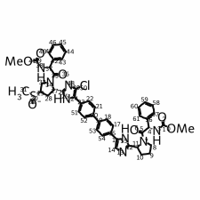 COC(=O)N[C@H](C(=O)N1CCCC1c1ncc(-c2ccc(-c3ccc(-c4[nH]c([C@@H]5C[C@H]([S+](C)[O-])CN5C(=O)[C@@H](NC(=O)OC)c5ccccc5)nc4Cl)cc3)cc2)[nH]1)c1ccccc1